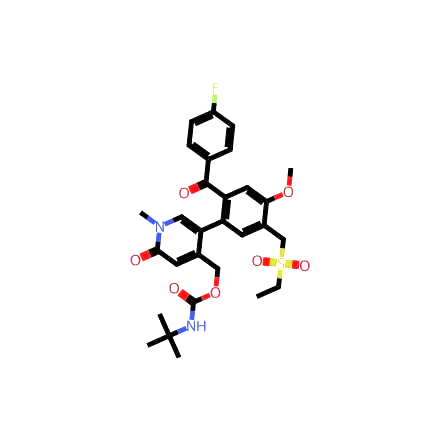 CCS(=O)(=O)Cc1cc(-c2cn(C)c(=O)cc2COC(=O)NC(C)(C)C)c(C(=O)c2ccc(F)cc2)cc1OC